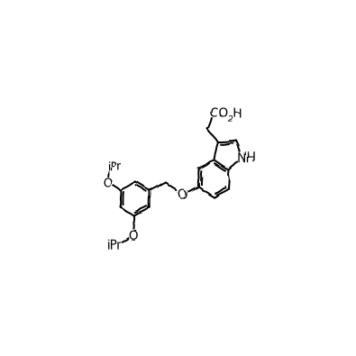 CC(C)Oc1cc(COc2ccc3[nH]cc(CC(=O)O)c3c2)cc(OC(C)C)c1